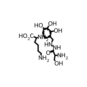 NC(CO)C(=O)NNCc1ccc(O)c(O)c1O.NCCCCC(N)C(=O)O